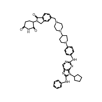 O=C1CCC(N2Cc3cc(CN4CCN(C5CCN(c6ccc(Nc7ncc8nc(Nc9ccccc9)n(C9CCCC9)c8n7)cc6)CC5)CC4)ccc3C2=O)C(=O)N1